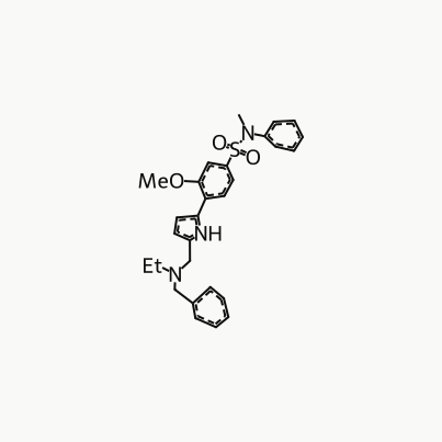 CCN(Cc1ccccc1)Cc1ccc(-c2ccc(S(=O)(=O)N(C)c3ccccc3)cc2OC)[nH]1